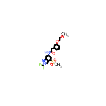 COCCOc1cccc(CC(=O)Nc2cc(S(C)(=O)=O)c3cn(C(F)F)nc3c2)c1